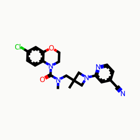 CN(CC1(C)CN(c2cc(C#N)ccn2)C1)C(=O)N1CCOc2cc(Cl)ccc21